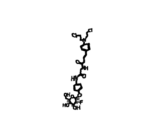 O=C(CCCc1ccc(N(CCCl)CCCl)cc1)NCC(=O)Nc1ccc(O[C@@H]2O[C@H](CO)[C@@H](O)[C@H](O)[C@H]2F)cc1